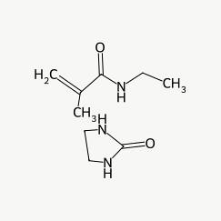 C=C(C)C(=O)NCC.O=C1NCCN1